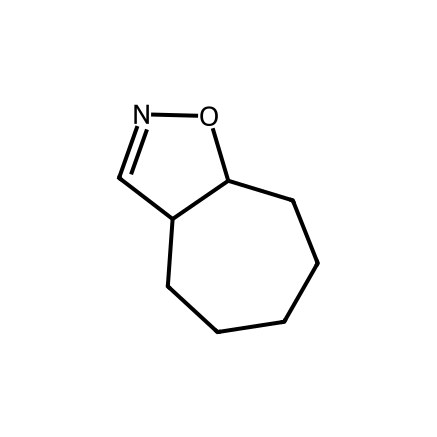 C1=NOC2CCCCCC12